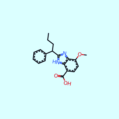 CCCC(c1ccccc1)c1nc2c(OC)ccc(C(=O)O)c2[nH]1